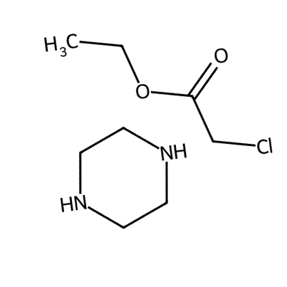 C1CNCCN1.CCOC(=O)CCl